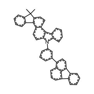 CC1(C)c2ccccc2-c2c1ccc1c2ccc2c1c1ccccc1n2-c1cccc(-c2ccc3c4c(cccc24)-c2ccccc2-3)c1